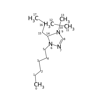 CCCCCCN1N=CN(C(C)(C)C)C1CCC